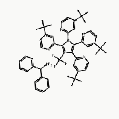 CC(C)(C)c1ccnc(-c2c(C(F)(F)F)c(-c3cc(C(C)(C)C)ccn3)n(-c3cc(C(C)(C)C)ccn3)c2-c2cc(C(C)(C)C)ccn2)c1.PC(c1ccccc1)c1ccccc1